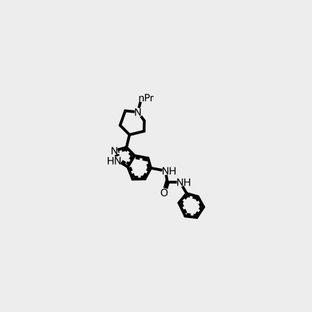 CCCN1CCC(c2n[nH]c3ccc(NC(=O)Nc4ccccc4)cc23)CC1